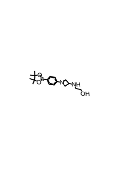 CC1(C)OB(c2ccc(N3CC(NCCO)C3)cc2)OC1(C)C